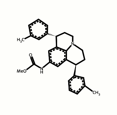 COC(=O)Nc1cc2c3c(c1)[C@H](c1cccc(C)c1)CCN3CC[C@H]2c1cccc(C)c1